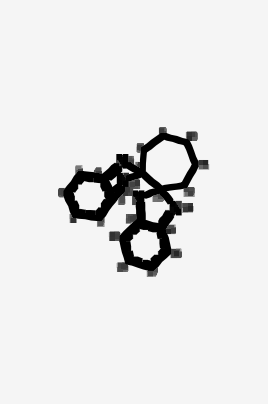 c1ccc2c(c1)=NC1(CCCCCC13N=c1ccccc1=N3)N=2